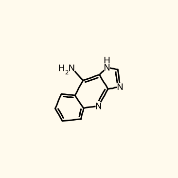 Nc1c2ccccc2nc2nc[nH]c12